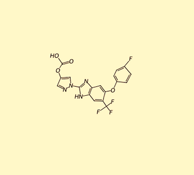 O=C(O)Oc1cnn(-c2nc3cc(Oc4ccc(F)cc4)c(C(F)(F)F)cc3[nH]2)c1